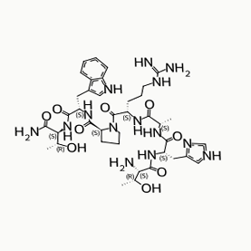 C[C@H](NC(=O)[C@H](Cc1c[nH]cn1)NC(=O)[C@@H](N)[C@@H](C)O)C(=O)N[C@@H](CCCNC(=N)N)C(=O)N1CCC[C@H]1C(=O)N[C@@H](Cc1c[nH]c2ccccc12)C(=O)N[C@H](C(N)=O)[C@@H](C)O